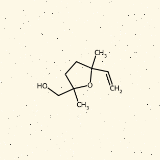 C=CC1(C)CCC(C)(CO)O1